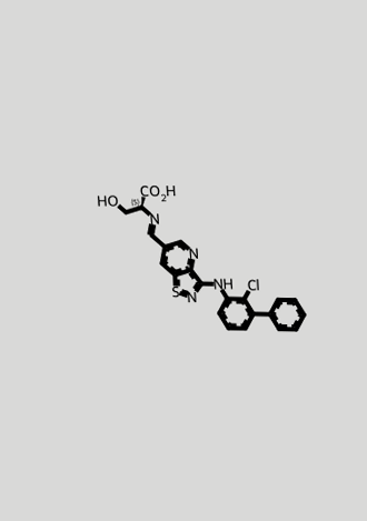 O=C(O)[C@H](CO)N=Cc1cnc2c(Nc3cccc(-c4ccccc4)c3Cl)nsc2c1